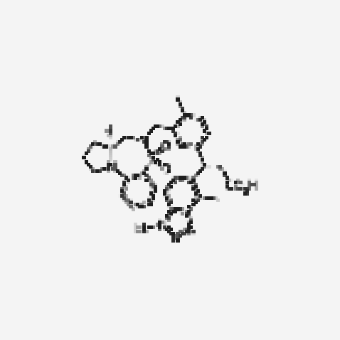 CCn1nnc2c(C)c([C@@H](CC(=O)O)c3ccc(C)c(CN4C[C@@H]5CCCN5c5ccccc5S4(=O)=O)c3)ccc21